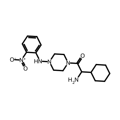 NC(C(=O)N1CCN(Nc2ccccc2[N+](=O)[O-])CC1)C1CCCCC1